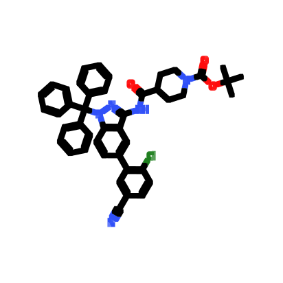 CC(C)(C)OC(=O)N1CCC(C(=O)Nc2nn(C(c3ccccc3)(c3ccccc3)c3ccccc3)c3ccc(-c4cc(C#N)ccc4Cl)cc23)CC1